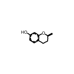 C=C1CCc2ccc(O)cc2O1